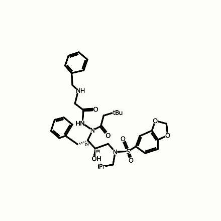 CC(C)CN(C[C@@H](O)[C@H](Cc1ccccc1)N(NC(=O)CNCc1ccccc1)C(=O)CC(C)(C)C)S(=O)(=O)c1ccc2c(c1)OCO2